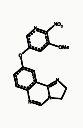 COc1cc(Oc2ccc3c(c2)C2=NCCN2C=N3)cnc1[N+](=O)[O-]